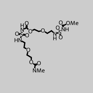 CNC(=O)OCCOCCNS(=O)(=O)NC(=O)OCCOCCNS(=O)(=O)NC(=O)OC